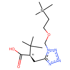 CC(C)(C)[C@@H](Cc1nnnn1COCC[Si](C)(C)C)C(=O)O